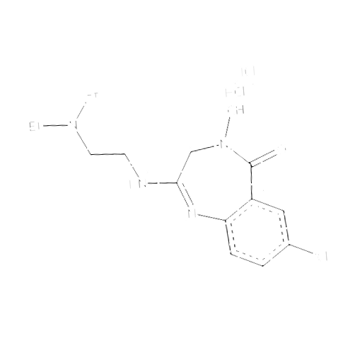 CCN(CC)CCNC1=Nc2ccc(Cl)cc2C(=O)N(C)C1.Cl.Cl